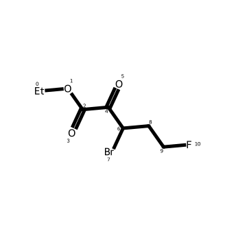 CCOC(=O)C(=O)C(Br)CCF